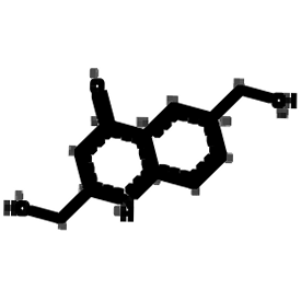 O=c1cc(CO)[nH]c2ccc(CO)cc12